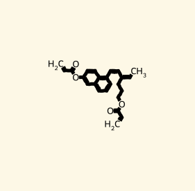 C=CC(=O)OCCCC(/C=C\c1cccc2cc(OC(=O)C=C)ccc12)=C/C